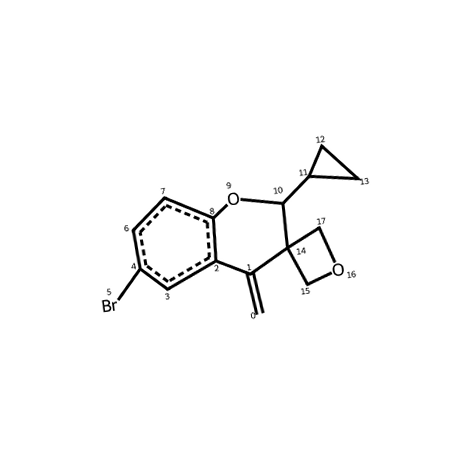 C=C1c2cc(Br)ccc2OC(C2CC2)C12COC2